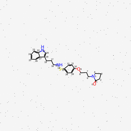 O=C1CCCN1CCCOc1ccc(SNCCCc2c[nH]c3ccccc23)cc1